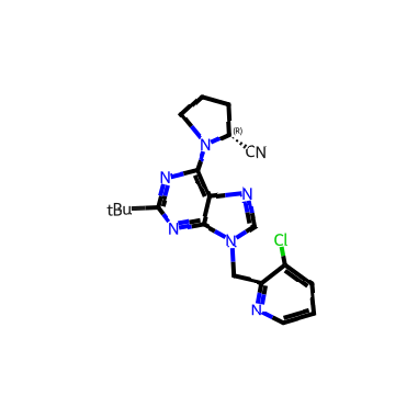 CC(C)(C)c1nc(N2CCC[C@@H]2C#N)c2ncn(Cc3ncccc3Cl)c2n1